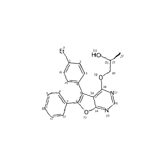 CCc1ccc(-c2c(-c3ccccc3)oc3ncnc(OC[C@H](C)O)c23)cc1